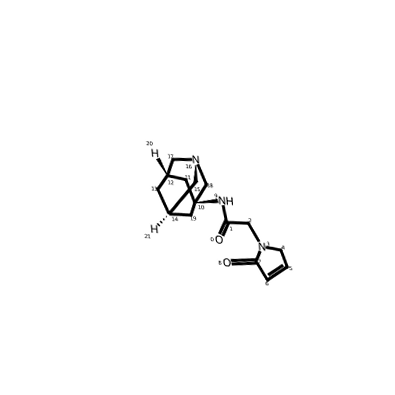 O=C(CN1CC=CC1=O)N[C@@]12C[C@@H]3C[C@@H](C[N@](C3)C1)C2